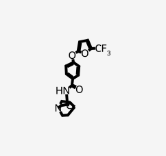 O=C(NC1CC2CCN(CC2)C1)c1ccc(Oc2ccc(C(F)(F)F)o2)cc1